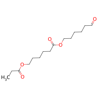 CCC(=O)OCCCCCC(=O)OCCCCCC=O